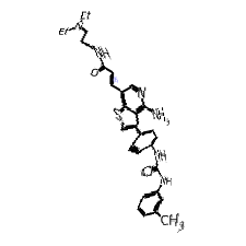 CCN(CC)CCNC(=O)/C=C/c1cnc(N)c2c(-c3ccc(NC(=O)Nc4cccc(C)c4)cc3)csc12